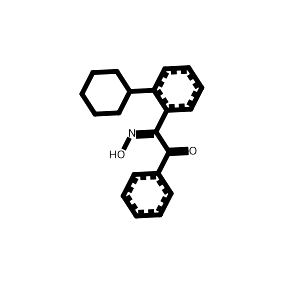 O=C(C(=NO)c1ccccc1C1CCCCC1)c1ccccc1